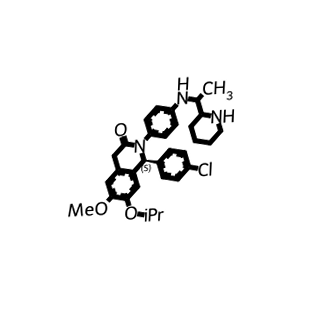 COc1cc2c(cc1OC(C)C)[C@H](c1ccc(Cl)cc1)N(c1ccc(NC(C)C3CCCCN3)cc1)C(=O)C2